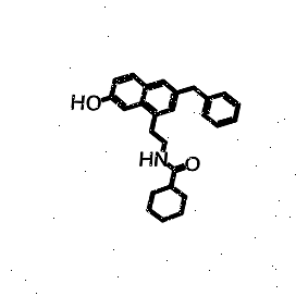 O=C(NCCc1cc(Cc2ccccc2)cc2ccc(O)cc12)C1CCCCC1